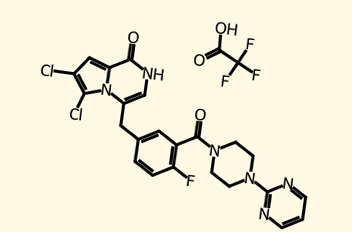 O=C(O)C(F)(F)F.O=C(c1cc(Cc2c[nH]c(=O)c3cc(Cl)c(Cl)n23)ccc1F)N1CCN(c2ncccn2)CC1